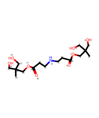 CC(CO)(CO)COC(=O)CCNCCC(=O)OCC(C)(CO)CO